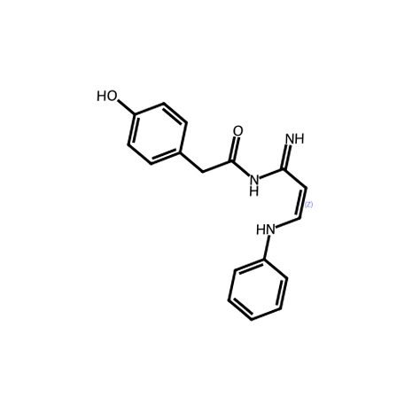 N=C(/C=C\Nc1ccccc1)NC(=O)Cc1ccc(O)cc1